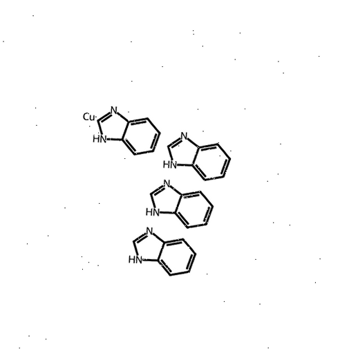 [Cu].c1ccc2[nH]cnc2c1.c1ccc2[nH]cnc2c1.c1ccc2[nH]cnc2c1.c1ccc2[nH]cnc2c1